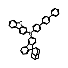 c1ccc(-c2ccc(-c3ccc(N(c4ccc5c(c4)-c4ccccc4C54C5CC6CC(C5)CC4C6)c4ccc5c(c4)oc4ccccc45)cc3)cc2)cc1